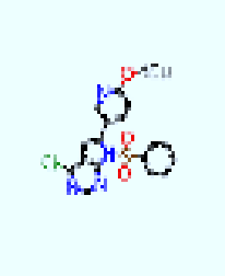 CC(C)(C)Oc1ccc(-c2cc3c(Cl)ncnc3n2S(=O)(=O)c2ccccc2)cn1